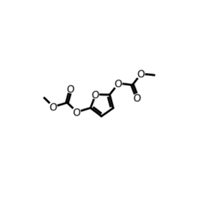 COC(=O)Oc1ccc(OC(=O)OC)o1